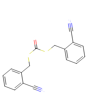 N#Cc1ccccc1CSC(=O)SCc1ccccc1C#N